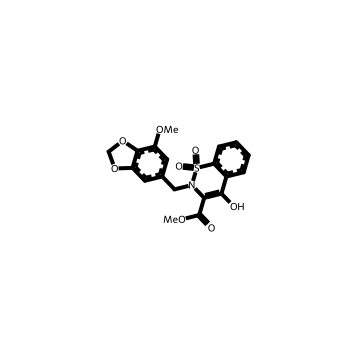 COC(=O)C1=C(O)c2ccccc2S(=O)(=O)N1Cc1cc(OC)c2c(c1)OCO2